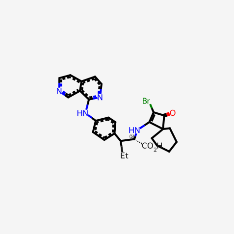 CCC(c1ccc(Nc2nccc3ccncc23)cc1)[C@H](NC1=C(Br)C(=O)C12CCCCC2)C(=O)O